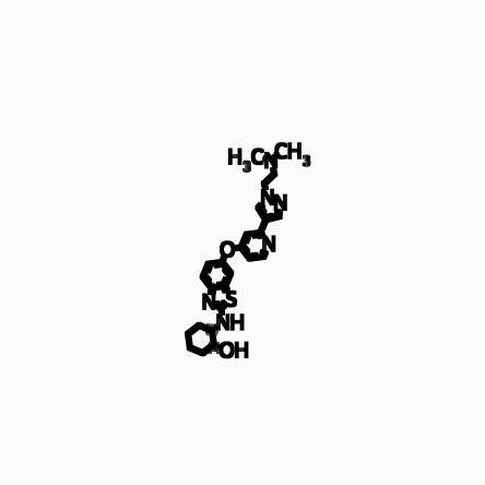 CN(C)CCn1cc(-c2cc(Oc3ccc4nc(N[C@@H]5CCCC[C@H]5O)sc4c3)ccn2)cn1